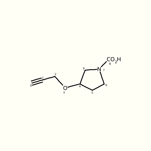 C#CCOC1CCN(C(=O)O)C1